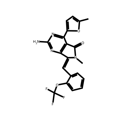 Cc1ccc(-c2nc(N)nc3c2C(=O)N(C)C3=Cc2ccccc2OC(F)(F)F)o1